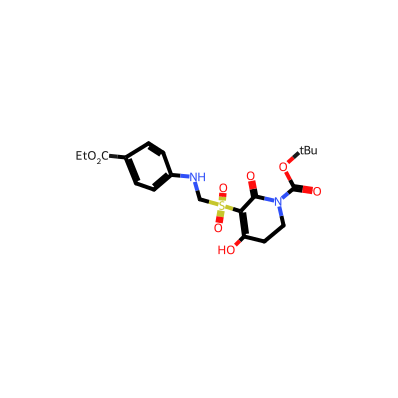 CCOC(=O)c1ccc(NCS(=O)(=O)C2=C(O)CCN(C(=O)OC(C)(C)C)C2=O)cc1